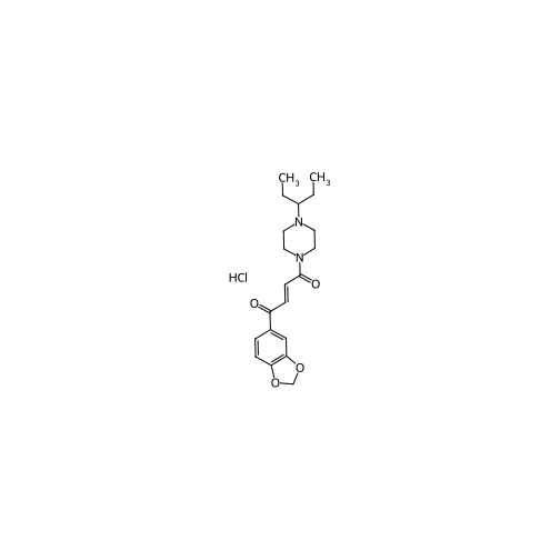 CCC(CC)N1CCN(C(=O)/C=C/C(=O)c2ccc3c(c2)OCO3)CC1.Cl